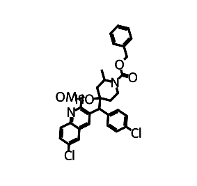 COc1nc2ccc(Cl)cc2cc1C(c1ccc(Cl)cc1)C1(O)CCN(C(=O)OCc2ccccc2)C(C)C1